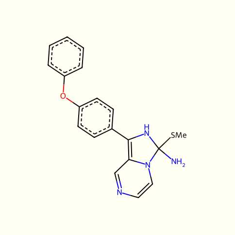 CSC1(N)NC(c2ccc(Oc3ccccc3)cc2)=C2C=NC=CN21